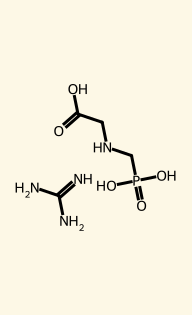 N=C(N)N.O=C(O)CNCP(=O)(O)O